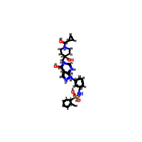 Cc1ccccc1S(=O)(=O)Nc1cccc(-n2ncc3c(=O)n(CC4(O)CCN(C(=O)C5CC5)CC4)cnc32)c1